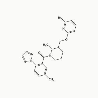 Cc1ccc(-n2nccn2)c(C(=O)N2CCCC(COc3cccc(Br)n3)C2C)c1